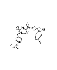 O=c1nc(NC2CC(CO)(c3ccc(F)cc3)C2)ncn1Cc1ccc(C(F)(F)F)s1